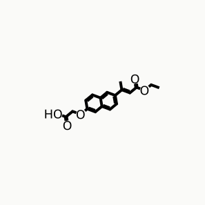 CCOC(=O)/C=C(\C)c1ccc2cc(OCC(=O)O)ccc2c1